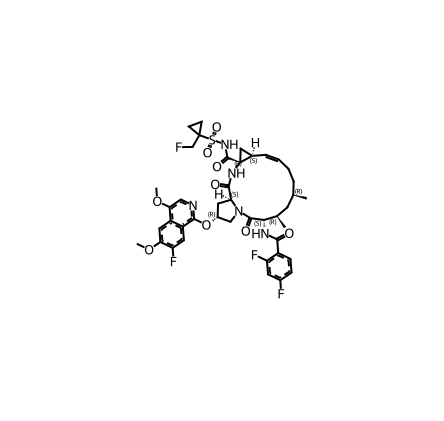 COc1cc2c(OC)cnc(O[C@@H]3C[C@H]4C(=O)N[C@]5(C(=O)NS(=O)(=O)C6(CF)CC6)C[C@H]5C=CCC[C@@H](C)C[C@@H](C)[C@H](NC(=O)c5ccc(F)cc5F)C(=O)N4C3)c2cc1F